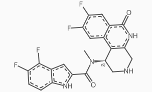 CN(C(=O)c1cc2c(F)c(F)ccc2[nH]1)[C@@H]1CNCc2[nH]c(=O)c3cc(F)c(F)cc3c21